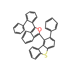 c1ccc(-c2ccccc2-c2oc(-c3c(-c4ccccc4)ccc4sc5ccccc5c34)c3ccccc23)cc1